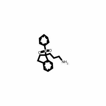 NCCCC1(S(=O)(=O)c2ccccc2)CCc2ccccc21